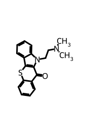 CN(C)CCn1c2ccccc2c2sc3ccccc3c(=O)c21